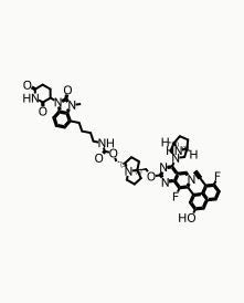 C#Cc1c(F)ccc2cc(O)cc(-c3ncc4c(N5C[C@H]6CC[C@@H](C5)N6)nc(OC[C@@]56CCCN5[C@H](COC(=O)NCCCCc5cccc7c5n(C)c(=O)n7C5CCC(=O)NC5=O)CC6)nc4c3F)c12